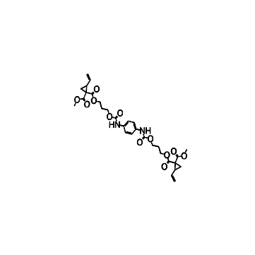 C=CC1CC1(C(=O)OC)C(=O)OCCCOC(=O)Nc1ccc(NC(=O)OCCCOC(=O)C2(C(=O)OC)CC2C=C)cc1